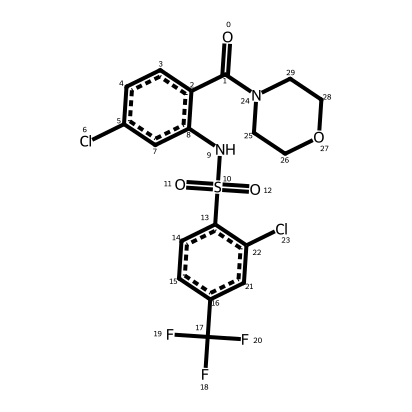 O=C(c1ccc(Cl)cc1NS(=O)(=O)c1ccc(C(F)(F)F)cc1Cl)N1CCOCC1